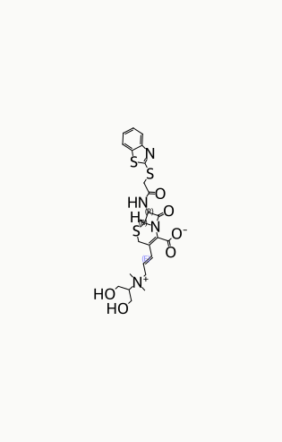 C[N+](C)(C/C=C/C1=C(C(=O)[O-])N2C(=O)[C@@H](NC(=O)CSc3nc4ccccc4s3)[C@H]2SC1)C(CO)CO